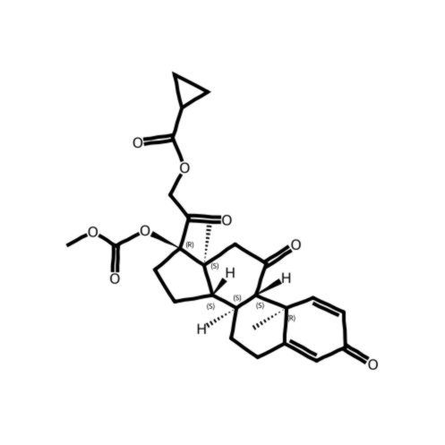 COC(=O)O[C@]1(C(=O)COC(=O)C2CC2)CC[C@H]2[C@@H]3CCC4=CC(=O)C=C[C@]4(C)[C@H]3C(=O)C[C@@]21C